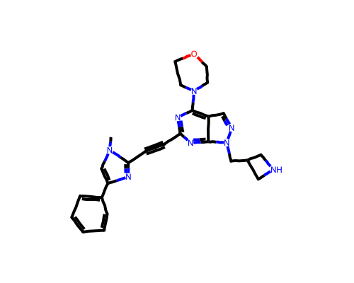 Cn1cc(-c2ccccc2)nc1C#Cc1nc(N2CCOCC2)c2cnn(CC3CNC3)c2n1